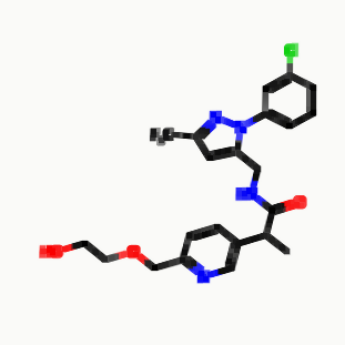 CC(C(=O)NCc1cc(C(F)(F)F)nn1-c1cccc(Cl)c1)c1ccc(COCCO)nc1